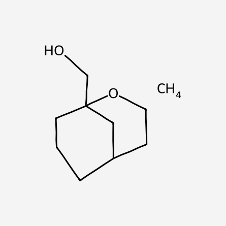 C.OCC12CCCC(CCO1)C2